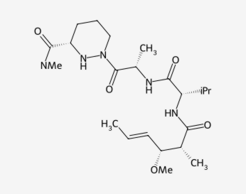 C/C=C/[C@@H](OC)[C@@H](C)C(=O)N[C@H](C(=O)N[C@@H](C)C(=O)N1CCC[C@@H](C(=O)NC)N1)C(C)C